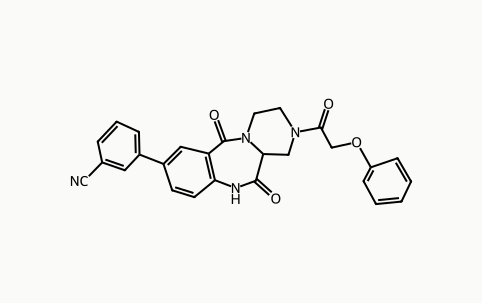 N#Cc1cccc(-c2ccc3c(c2)C(=O)N2CCN(C(=O)COc4ccccc4)CC2C(=O)N3)c1